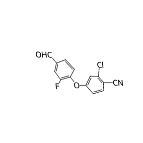 N#Cc1ccc(Oc2ccc(C=O)cc2F)cc1Cl